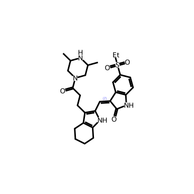 CCS(=O)(=O)c1ccc2c(c1)/C(=C/c1[nH]c3c(c1CCC(=O)N1CC(C)NC(C)C1)CCCC3)C(=O)N2